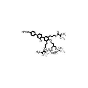 C=C(C)C(=O)OCCCc1cc(-c2ccc(-c3ccc(CCCCC)cc3)cc2CC)cc(CCCOC(=O)C(=C)C)c1OCCC(CO[Si](C)(C)C(C)(C)C)CO[Si](C)(C)C(C)(C)C